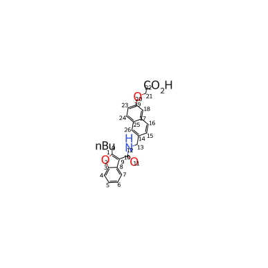 CCCCc1oc2ccccc2c1C(=O)NCc1ccc2cc(OCC(=O)O)ccc2c1